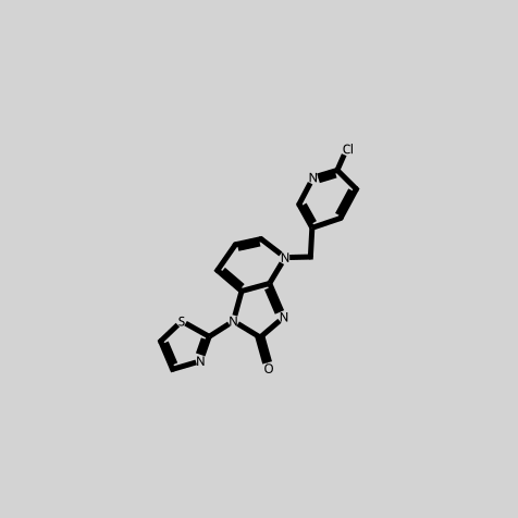 O=c1nc2n(Cc3ccc(Cl)nc3)cccc-2n1-c1nccs1